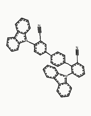 N#Cc1cc(-c2ccc(-c3c(C#N)cccc3-n3c4ccccc4c4ccccc43)cc2)ccc1-n1c2ccccc2c2ccccc21